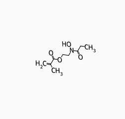 C=C(C)C(=O)OCCN(O)C(=O)CC